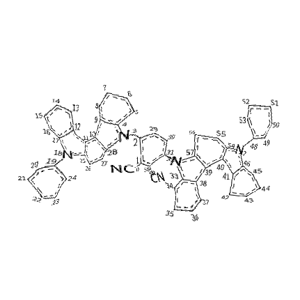 N#Cc1c(-n2c3ccccc3c3c4c5ccccc5n(-c5ccccc5)c4ccc32)ccc(-n2c3ccccc3c3c4c5ccccc5n(-c5ccccc5)c4ccc32)c1C#N